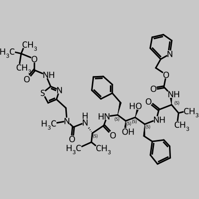 CC(C)[C@H](NC(=O)OCc1ccccn1)C(=O)N[C@@H](Cc1ccccc1)[C@H](O)[C@@H](O)[C@H](Cc1ccccc1)NC(=O)[C@@H](NC(=O)N(C)Cc1csc(NC(=O)OC(C)(C)C)n1)C(C)C